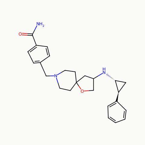 NC(=O)c1ccc(CN2CCC3(CC2)CC(N[C@@H]2C[C@H]2c2ccccc2)CO3)cc1